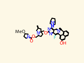 C#Cc1cccc2cc(O)cc(-c3ncc4c(N5CC6CCC(C5)N6)nc(OCC56CCC(COC(=O)N7CCC(OC)C7)N5CC(=C)C6)nc4c3F)c12